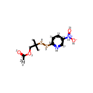 [2H]C(=O)OCC(C)(C)SSc1ccc([N+](=O)[O-])cn1